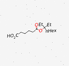 CCCCCCC(CC)(CC)OC(=O)CCCCC(=O)O